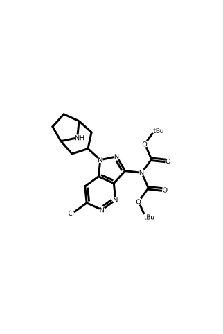 CC(C)(C)OC(=O)N(C(=O)OC(C)(C)C)c1nn(C2CC3CCC(C2)N3)c2cc(Cl)nnc12